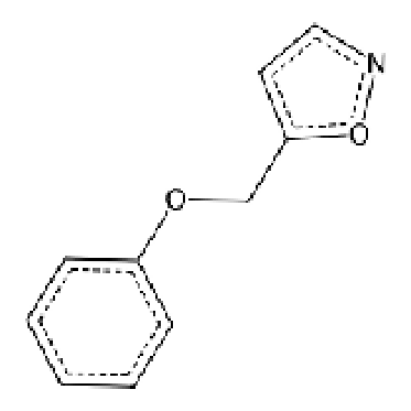 c1ccc(OCc2ccno2)cc1